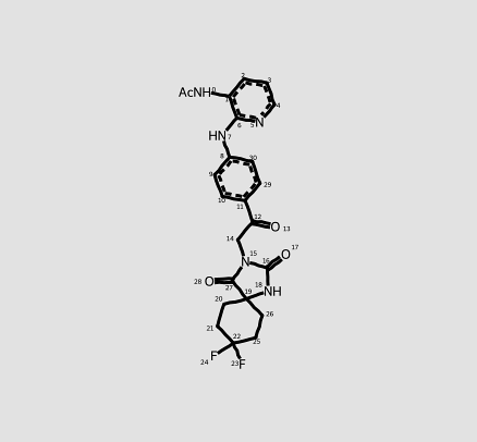 CC(=O)Nc1cccnc1Nc1ccc(C(=O)CN2C(=O)NC3(CCC(F)(F)CC3)C2=O)cc1